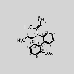 CC=C(C)P(C(C)=CC)c1ccccc1-c1ccccc1OC(C)=O